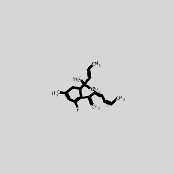 C=C(/C=C\C=C/C)C1=C(F)C=C(C)CC1C(C)(C=CC)C(C)(C)C